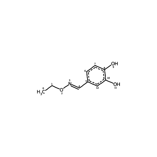 CCO/N=C/c1ccc(O)c(O)c1